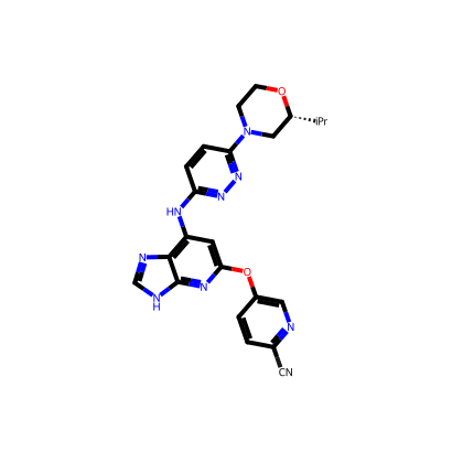 CC(C)[C@@H]1CN(c2ccc(Nc3cc(Oc4ccc(C#N)nc4)nc4[nH]cnc34)nn2)CCO1